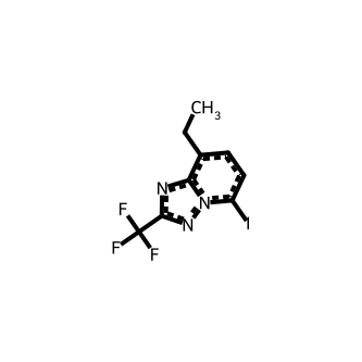 CCc1ccc(I)n2nc(C(F)(F)F)nc12